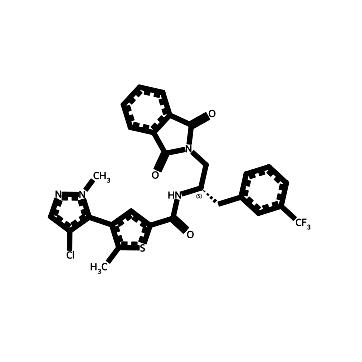 Cc1sc(C(=O)N[C@@H](Cc2cccc(C(F)(F)F)c2)CN2C(=O)c3ccccc3C2=O)cc1-c1c(Cl)cnn1C